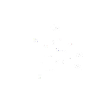 CCS(=O)(=O)N(C(=O)C(C)(C)C)c1c[c]c(F)cc1C#N